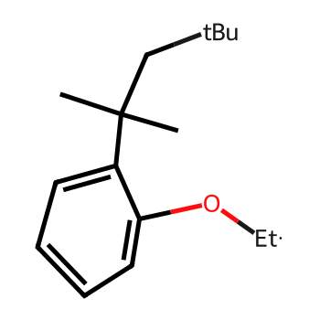 C[CH]Oc1ccccc1C(C)(C)CC(C)(C)C